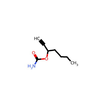 C#CC(CCCC)OC(N)=O